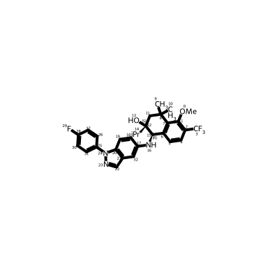 COc1c(C(F)(F)F)ccc2c1C(C)(C)C[C@](O)(C(C)C)[C@@H]2Nc1ccc2c(cnn2-c2ccc(F)cc2)c1